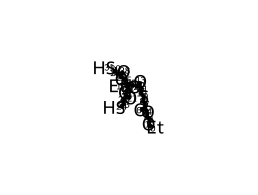 CCOCCOC(=O)CCSCCC(=O)OCC(CC)(COC(=O)CCS)COC(=O)CCS